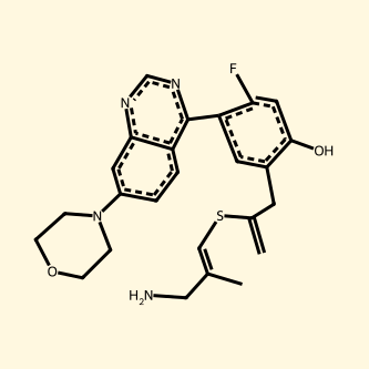 C=C(Cc1cc(-c2ncnc3cc(N4CCOCC4)ccc23)c(F)cc1O)S/C=C(\C)CN